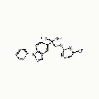 OC(CSc1nccc(C(F)(F)F)n1)(c1ccc2c(cnn2-c2ccccc2)c1)C(F)(F)F